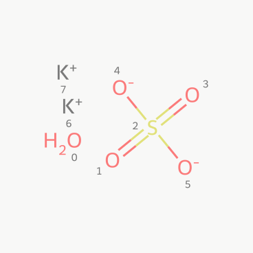 O.O=S(=O)([O-])[O-].[K+].[K+]